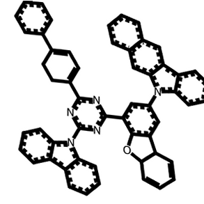 C1=CC2Oc3c(-c4nc(C5=CC=C(c6ccccc6)CC5)nc(-n5c6ccccc6c6ccccc65)n4)cc(-n4c5ccccc5c5cc6ccccc6cc54)cc3C2C=C1